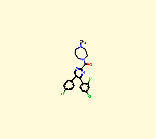 CN1CCCN(C(=O)c2ncc(-c3ccc(Cl)cc3)c(-c3ccc(Cl)cc3Cl)n2)CC1